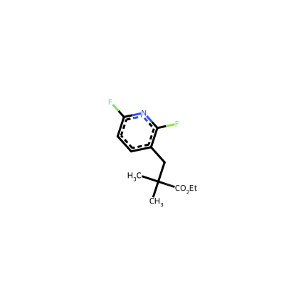 CCOC(=O)C(C)(C)Cc1ccc(F)nc1F